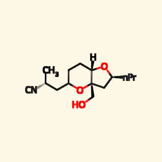 [C-]#[N+][C@H](C)CC1CC[C@@H]2O[C@@H](CCC)C[C@]2(CO)O1